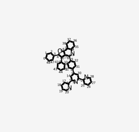 c1ccc(-c2oc3c(c(-c4ccc(-c5cc(-c6ccccn6)nc(-c6ccccn6)c5)cc4)nc4ccccc43)c2-c2ccccc2)cc1